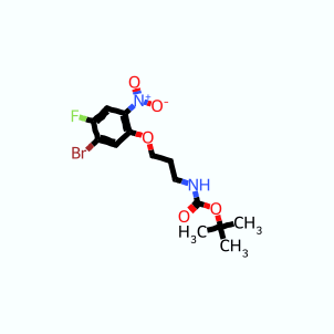 CC(C)(C)OC(=O)NCCCOc1cc(Br)c(F)cc1[N+](=O)[O-]